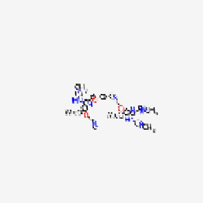 COc1cc2c(NC3CCN(C)CC3)cc(-c3ccc(-c4ccc(C5CCN(CCCOc6cc7nc(-c8ccn(C)n8)cc(NC8CCN(C)CC8)c7cc6OC)C5)cc4)o3)nc2cc1OCCCN1CCCC1